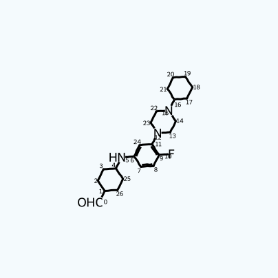 O=CC1CCC(Nc2ccc(F)c(N3CCN(C4CCCCC4)CC3)c2)CC1